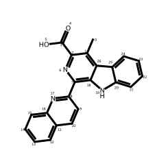 Cc1c(C(=O)O)nc(-c2ccc3ccccc3n2)c2[nH]c3ccccc3c12